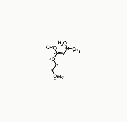 COCCOC(C=O)=CN(C)C